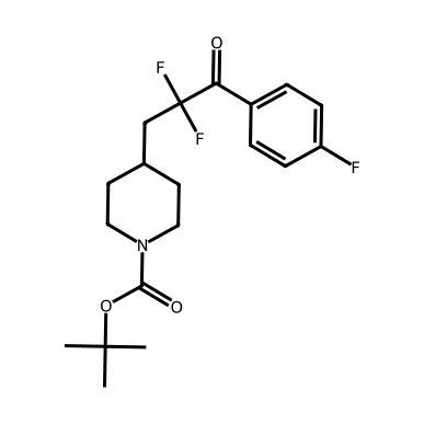 CC(C)(C)OC(=O)N1CCC(CC(F)(F)C(=O)c2ccc(F)cc2)CC1